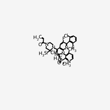 C=CC(=O)N1CCN(c2nc(=O)n(-c3c(C)ccnc3P(C)(C)=O)c3nc(-c4c(F)cccc4Cl)c(F)cc23)[C@@](C)([SiH3])C1